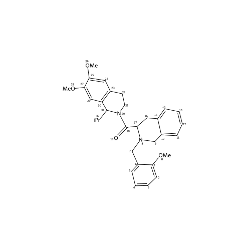 COc1ccccc1CN1Cc2ccccc2CC1C(=O)N1CCc2cc(OC)c(OC)cc2C1C(C)C